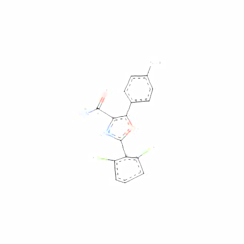 CC(=O)Nc1ccc(-c2oc(-c3c(F)cccc3F)nc2C(N)=O)cc1